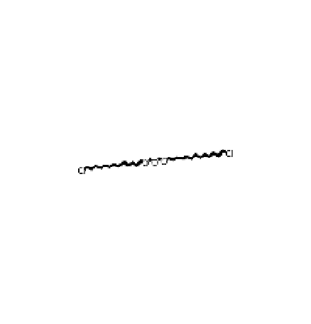 ClCCCCCCCCC=CCCCOCOCOCCCC=CCCCCCCCCCl